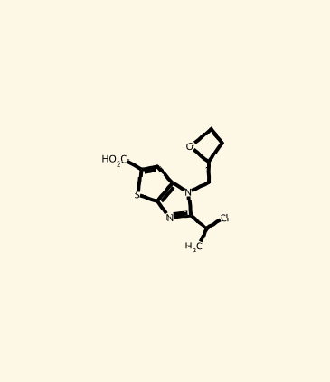 CC(Cl)c1nc2sc(C(=O)O)cc2n1CC1CCO1